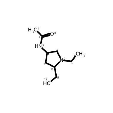 CCN1CC(NC(C)=O)CC1CO